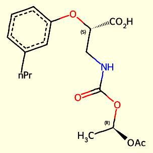 CCCc1cccc(O[C@@H](CNC(=O)O[C@H](C)OC(C)=O)C(=O)O)c1